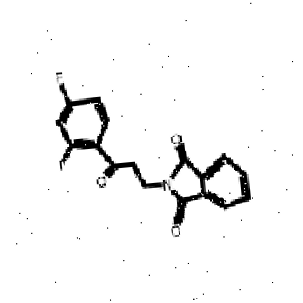 O=C(CCN1C(=O)c2ccccc2C1=O)c1ccc(F)cc1I